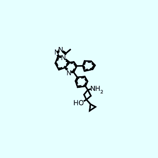 Cc1nnc2ccc3nc(-c4ccc(C5(N)CC(O)(C6CC6)C5)cc4)c(-c4ccccc4)cc3n12